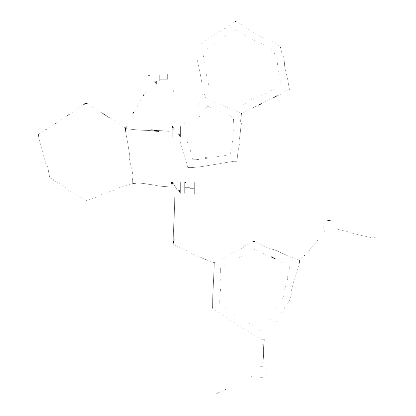 COc1cc(CNC2CCCCC2(N)n2ccc3ccccc32)cc(OC)c1